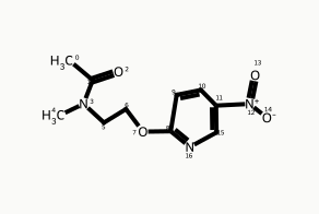 CC(=O)N(C)CCOc1ccc([N+](=O)[O-])cn1